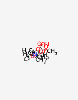 CCC1(C)CC2(OC(C(=O)O)C(C(=O)OC)O2)C(C)C(C)(CC)N1OC(C)c1ccccc1